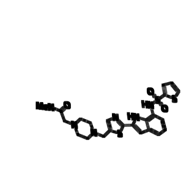 CNC(=O)CN1CCN(Cc2cnc(-c3cc4cccc(NS(=O)(=O)c5cccs5)c4[nH]3)s2)CC1